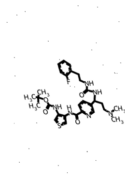 CN(C)CCC(NC(=O)NCCc1ccccc1F)c1ccc(C(=O)Nc2cscc2NC(=O)OC(C)(C)C)nc1